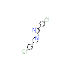 Clc1ccc(-c2cncc(CN3CCC(c4ccc(Cl)cc4)CC3)c2)cc1